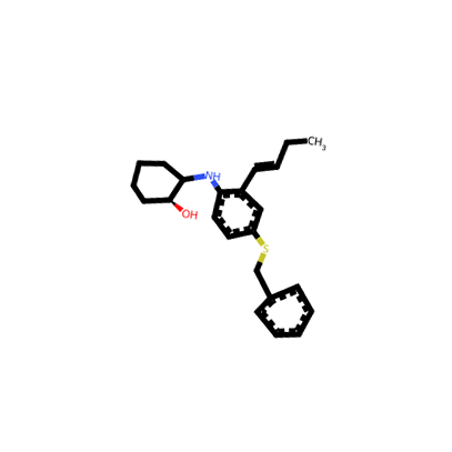 CC/C=C/c1cc(SCc2ccccc2)ccc1NC1CCCC[C@@H]1O